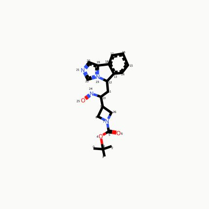 CC(C)(C)OC(=O)N1CC(C(CC2c3ccccc3-c3cncn32)N=O)C1